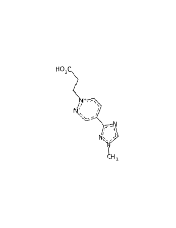 Cn1cnc(-c2cc[n+](CCC(=O)O)nc2)n1